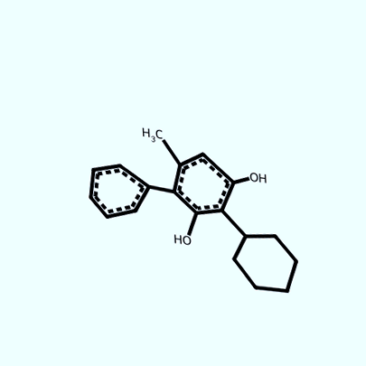 Cc1cc(O)c(C2CCCCC2)c(O)c1-c1ccccc1